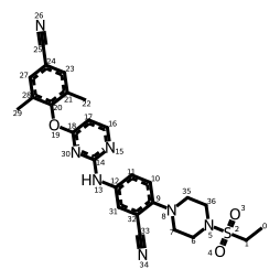 CCS(=O)(=O)N1CCN(c2ccc(Nc3nccc(Oc4c(C)cc(C#N)cc4C)n3)cc2C#N)CC1